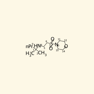 CCCC(C)(C)NCCS(=O)(=O)N1CCOCC1